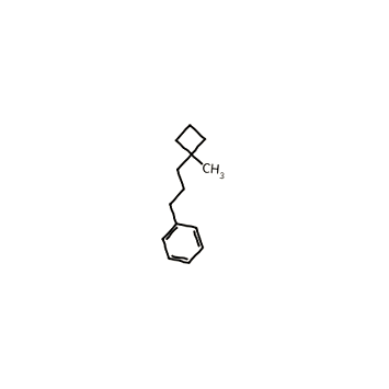 CC1(CCCc2ccccc2)CCC1